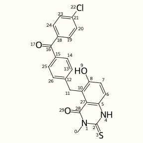 Cn1c(=S)[nH]c2ccc(O)c(Cc3ccc(C(=O)c4ccc(Cl)cc4)cc3)c2c1=O